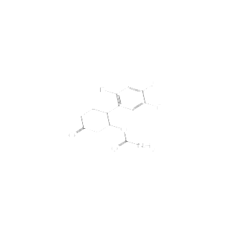 NC(=O)OC1CC(=O)CCC1c1cc(F)c(F)cc1F